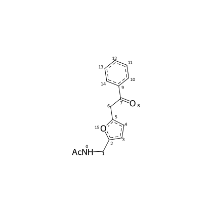 CC(=O)NCc1ccc(CC(=O)c2ccccc2)o1